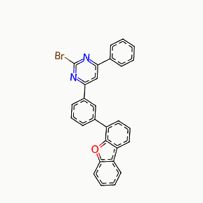 Brc1nc(-c2ccccc2)cc(-c2cccc(-c3cccc4c3oc3ccccc34)c2)n1